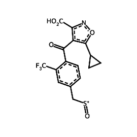 O=[S+]Cc1ccc(C(=O)c2c(C(=O)O)noc2C2CC2)c(C(F)(F)F)c1